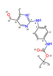 Cc1nc(Nc2ccc(NC(=O)OC(C)(C)C)cc2)ncc1C=O